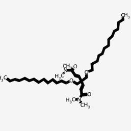 CCCCCCCCCCCCCCOCC(C=CC(=O)N(C)C)(C=CC(=O)N(C)C)COCCCCCCCCCCCCCC